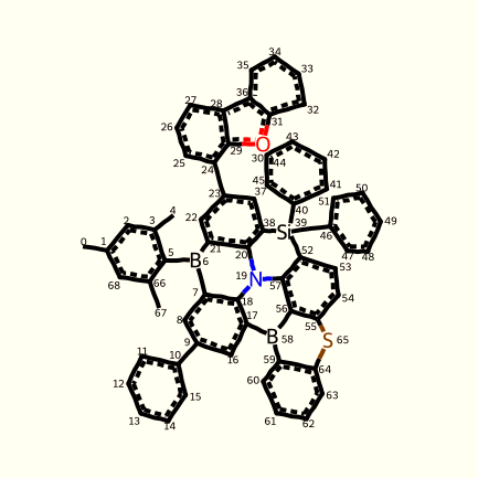 Cc1cc(C)c(B2c3cc(-c4ccccc4)cc4c3N3c5c2cc(-c2cccc6c2oc2ccccc26)cc5[Si](c2ccccc2)(c2ccccc2)c2ccc5c(c23)B4c2ccccc2S5)c(C)c1